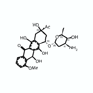 COc1cccc2c1C(O)c1c(O)c3c(c(O)c1C2=O)C[C@@](O)(C(C)=O)C[C@@H]3O[C@H]1C[C@H](N)[C@H](O)[C@H](C)O1